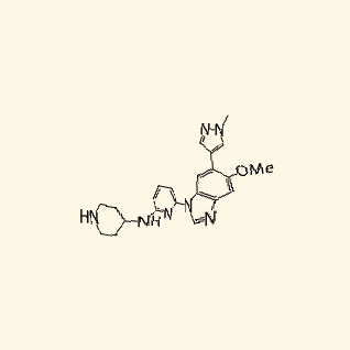 COc1cc2ncn(-c3cccc(NC4CCNCC4)n3)c2cc1-c1cnn(C)c1